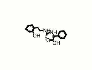 O=C(O)[C@@H](NC(=S)NCCc1ccccc1O)c1ccccc1